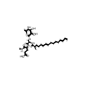 CCCCCCCCCCCCCCC(C)C(=O)NC(CO[C@@H]1OC(C)[C@@H](O)C(O)C1O)C(=O)NC(CCC(=O)O)C(=O)NC